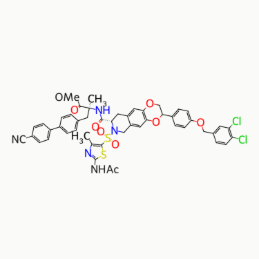 COC(=O)[C@](C)(Cc1ccc(-c2ccc(C#N)cc2)cc1)NC(=O)[C@@H]1Cc2cc3c(cc2CN1S(=O)(=O)c1sc(NC(C)=O)nc1C)OC(c1ccc(OCc2ccc(Cl)c(Cl)c2)cc1)CO3